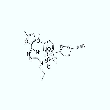 CCCN(c1nnc(-c2ccc(C)o2)n1-c1c(OC)cccc1OC)S(=O)(=O)[C@@H](C)[C@@H](O)c1ccc(C#N)cn1